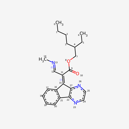 CCCCC(CC)COC(=O)C(/C=N/C)=C1/c2ccccc2-c2nccnc21